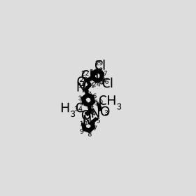 CCC(=O)N(Cc1ccccn1)C(=O)c1ccc(C2=NOC(C)(c3cc(Cl)cc(Cl)c3)C2)cc1C